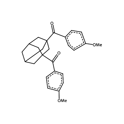 COc1ccc(C(=O)C23CC4CC(C2)CC(C(=O)c2ccc(OC)cc2)(C4)C3)cc1